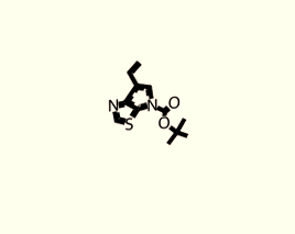 C=Cc1cn(C(=O)OC(C)(C)C)c2scnc12